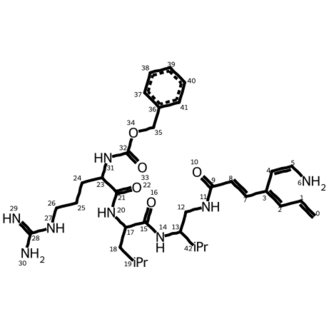 C=C/C=C(\C=C/N)/C=C/C(=O)NCC(NC(=O)C(CC(C)C)NC(=O)C(CCCNC(=N)N)NC(=O)OCc1ccccc1)C(C)C